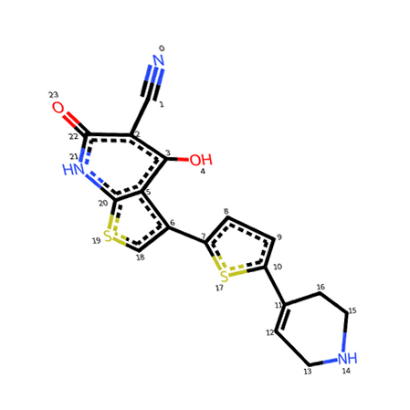 N#Cc1c(O)c2c(-c3ccc(C4=CCNCC4)s3)csc2[nH]c1=O